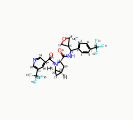 O=C(NC(c1ccc(C(F)(F)F)cc1F)C1COC1)[C@H]1C[C@H]2C[C@H]2N1C(=O)c1cncc(C(F)(F)F)c1